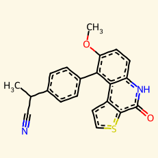 COc1ccc2[nH]c(=O)c3sccc3c2c1-c1ccc(C(C)C#N)cc1